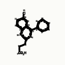 O=C(O)CCc1nc(-c2ccccc2)c2cc(Cl)ccc2n1